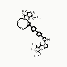 COC(=O)N[C@H](C(=O)N1CCCCCCOCc2[nH]c(nc2-c2ccc(-c3ccc(-c4c[nH]c(N5CCCN5C(=O)[C@@H](NC(=O)OC)C(C)C)n4)cc3)cc2)C1)C(C)C